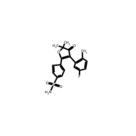 Cc1ccc(F)cc1C1=C(c2ccc(S(N)(=O)=O)cc2)OC(C)(C)C1=O